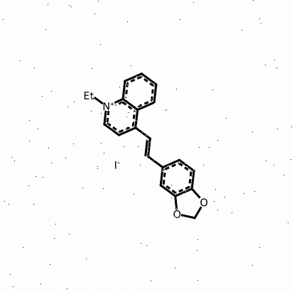 CC[n+]1ccc(C=Cc2ccc3c(c2)OCO3)c2ccccc21.[I-]